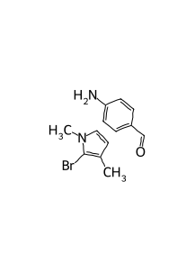 Cc1ccn(C)c1Br.Nc1ccc(C=O)cc1